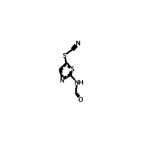 N#CSc1cnc(NC=O)s1